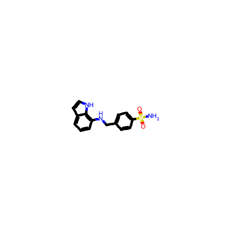 NS(=O)(=O)c1ccc(CNc2cccc3cc[nH]c23)cc1